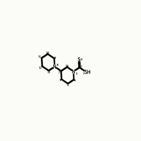 S=C(S)N1CCCC(N2CCCCC2)C1